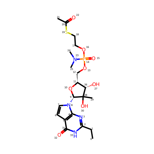 CCc1nc2c(ccn2[C@@H]2O[C@H](COP(=O)(OCCSC(C)=O)N(C)C)[C@H](O)C2(C)O)c(=O)[nH]1